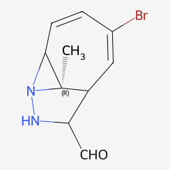 C[C@@]12C3C=C(Br)C=CC1N2NC3C=O